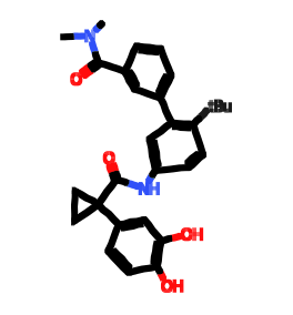 CN(C)C(=O)c1cccc(-c2cc(NC(=O)C3(c4ccc(O)c(O)c4)CC3)ccc2C(C)(C)C)c1